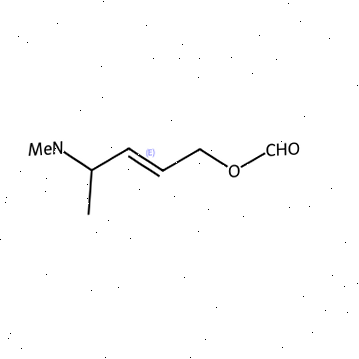 CNC(C)/C=C/COC=O